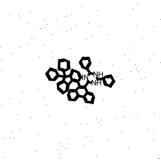 c1ccc(C2NC(c3ccccc3)NC(c3c(-c4cccc5c4-c4ccccc4C5(c4ccccc4)c4ccccc4)c4ccccc4c4ccccc34)N2)cc1